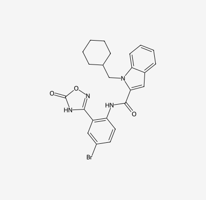 O=C(Nc1ccc(Br)cc1-c1noc(=O)[nH]1)c1cc2ccccc2n1CC1CCCCC1